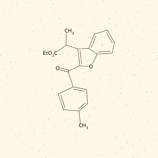 CCOC(=O)C(C)c1c(C(=O)c2ccc(C)cc2)oc2ccccc12